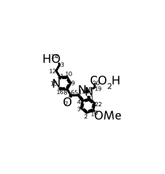 COc1ccc2c(C(=O)c3ccc(CCO)nc3)nn(CC(=O)O)c2c1